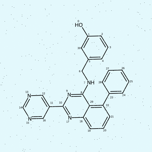 Oc1cccc(CNc2nc(-c3cncnc3)nc3cccc(-c4ccccc4)c23)c1